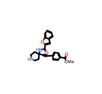 COC(=O)c1ccc(C#CC2(NC(=O)c3cc4ccccc4o3)CCNCC2)cc1